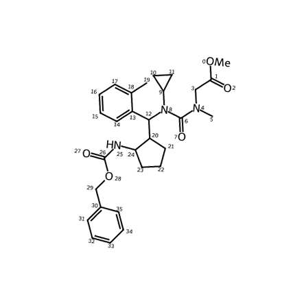 COC(=O)CN(C)C(=O)N(C1CC1)C(c1ccccc1C)C1CCCC1NC(=O)OCc1ccccc1